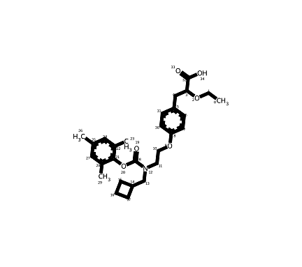 CCOC(Cc1ccc(OCCN(CC2CCC2)C(=O)Oc2c(C)cc(C)cc2C)cc1)C(=O)O